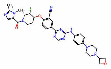 Cc1ncc(C(=O)N2CCC(Oc3ccc(-c4ncnc(Nc5ccc(N6CCN(C7COC7)CC6)cc5)n4)cc3C#N)C(F)C2)n1C